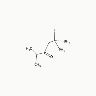 BC(F)(P)CC(=O)C(C)C